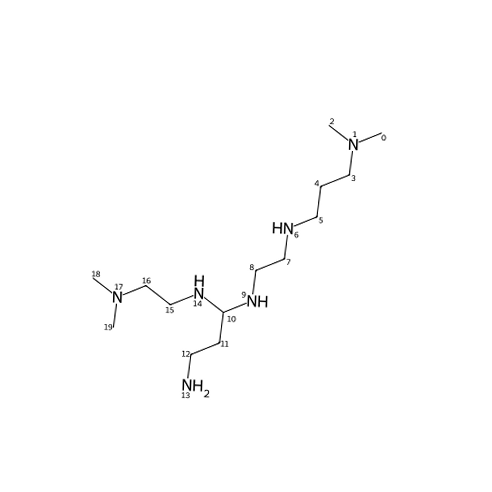 CN(C)CCCNCCNC(CCN)NCCN(C)C